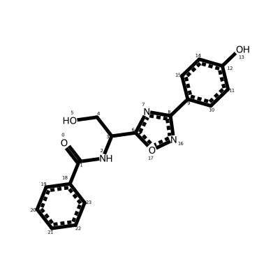 O=C(NC(CO)c1nc(-c2ccc(O)cc2)no1)c1ccccc1